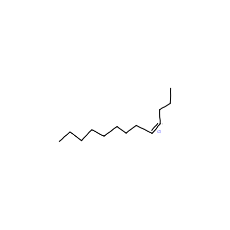 CCC/[C]=C\CCCCCCCC